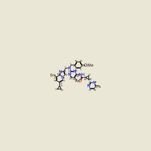 COc1ccc(CN(Cc2cn3cc(C4CC4)cc(Br)c3n2)c2ncc(C(C)=O)c(NC(=O)[C@H]3C[C@@H]3c3nccc(C)n3)n2)cc1